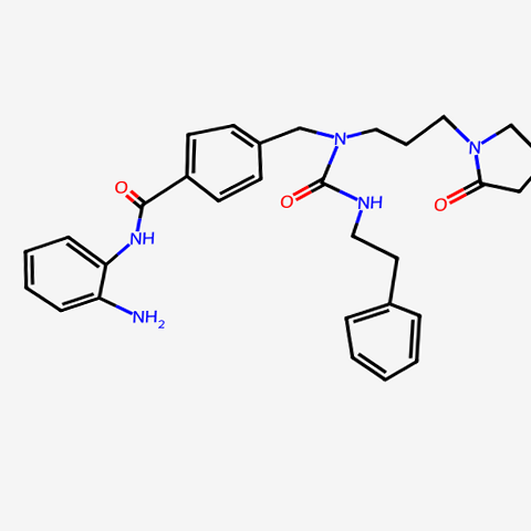 Nc1ccccc1NC(=O)c1ccc(CN(CCCN2CCCC2=O)C(=O)NCCc2ccccc2)cc1